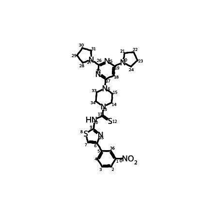 O=[N+]([O-])c1cccc(-c2csc(NC(=S)N3CCN(c4cc(N5CCCC5)nc(N5CCCC5)n4)CC3)n2)c1